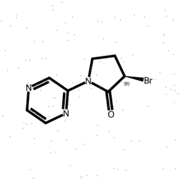 O=C1[C@H](Br)CCN1c1cnccn1